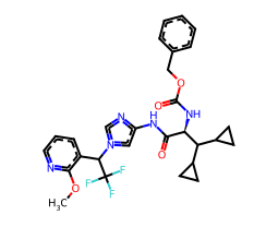 COc1ncccc1C(n1cnc(NC(=O)[C@@H](NC(=O)OCc2ccccc2)C(C2CC2)C2CC2)c1)C(F)(F)F